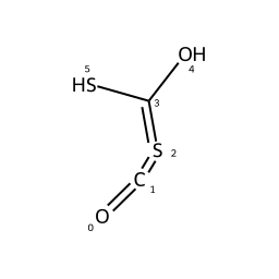 O=C=S=C(O)S